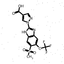 CS(=O)(=O)c1cc2[nH]c(-n3cc(C(=O)O)cn3)nc2cc1OC(F)(F)F